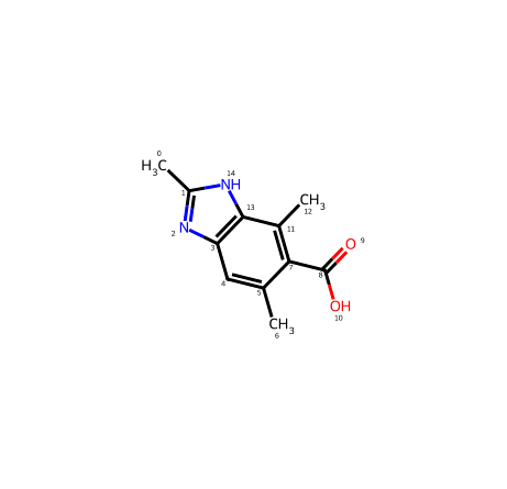 Cc1nc2cc(C)c(C(=O)O)c(C)c2[nH]1